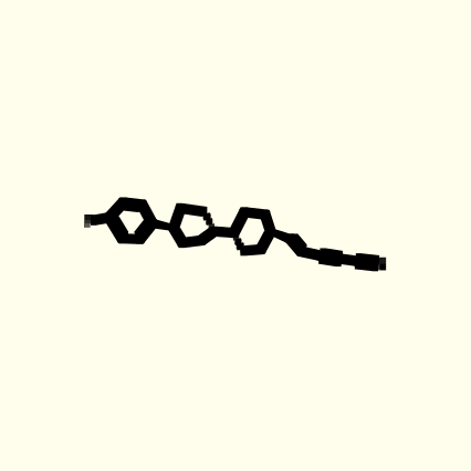 N#CC#CC=C[C@H]1CC[C@H]([C@H]2CC[C@H](c3ccc(F)cc3)CC2)CC1